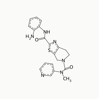 CN(C(=O)N1CCc2nc(C(=O)Nc3ccccc3N)sc2C1)c1cccnc1